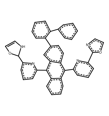 C1=COC(c2cccc(-c3c4ccccc4c(-c4cccc(-c5ncco5)n4)c4ccc(-c5ccccc5-c5ccccc5)cc34)n2)N1